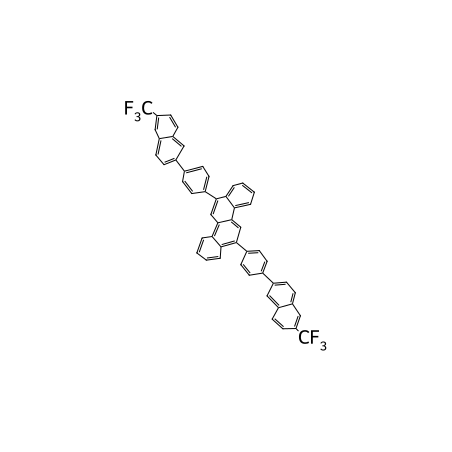 FC(F)(F)c1ccc2cc(-c3ccc(-c4cc5c6ccccc6c(-c6ccc(-c7ccc8cc(C(F)(F)F)ccc8c7)cc6)cc5c5ccccc45)cc3)ccc2c1